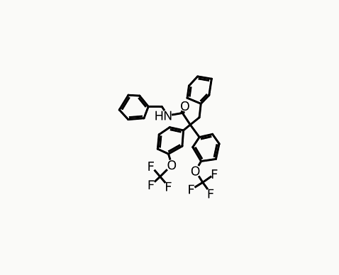 O=C(NCc1ccccc1)C(Cc1ccccc1)(c1cccc(OC(F)(F)F)c1)c1cccc(OC(F)(F)F)c1